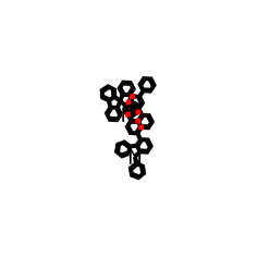 c1ccc(-c2ccc(N(c3ccc(-c4cccc5c4c4ccccc4n5-c4ccccc4)cc3)c3cccc4c3C3(c5ccccc5-c5ccccc53)c3ccccc3-4)c(-c3ccccc3)c2)cc1